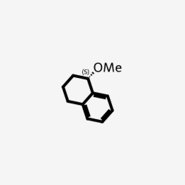 CO[C@H]1CCCc2ccccc21